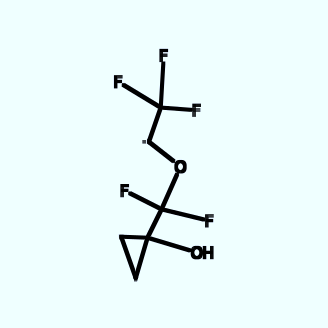 OC1(C(F)(F)O[CH]C(F)(F)F)CC1